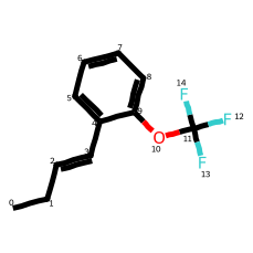 CC/C=C/c1ccccc1OC(F)(F)F